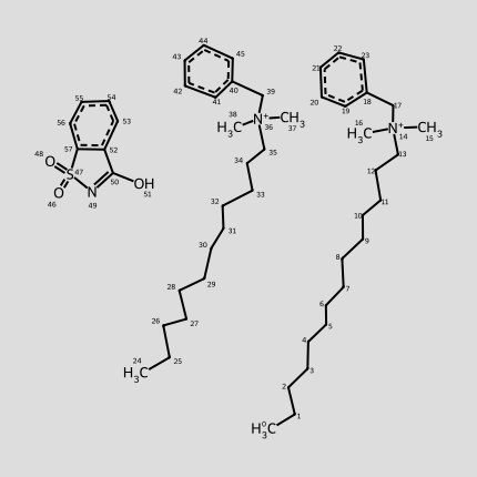 CCCCCCCCCCCCCC[N+](C)(C)Cc1ccccc1.CCCCCCCCCCCC[N+](C)(C)Cc1ccccc1.O=S1(=O)N=C(O)c2ccccc21